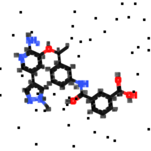 CC(Oc1cc(-c2cnn(C)c2)cnc1N)c1cccc(NC(=O)c2cccc(C(=O)O)c2)c1